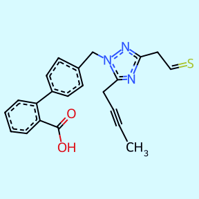 CC#CCc1nc(CC=S)nn1Cc1ccc(-c2ccccc2C(=O)O)cc1